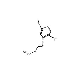 O=C(O)CCCc1cc(F)ccc1F